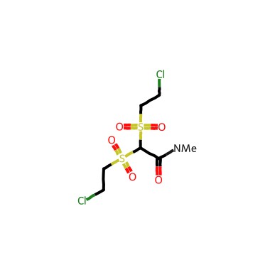 CNC(=O)C(S(=O)(=O)CCCl)S(=O)(=O)CCCl